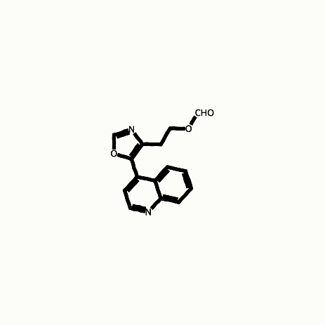 O=COCCc1ncoc1-c1ccnc2ccccc12